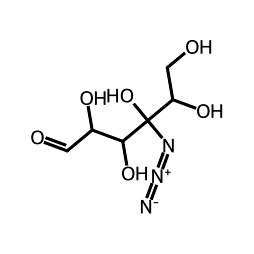 [N-]=[N+]=NC(O)(C(O)CO)C(O)C(O)C=O